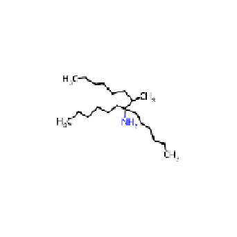 CCCCCCC(C)C(N)(CCCCCC)CCCCCC